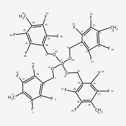 Cc1c(F)c(F)c(C[O][Zr]([O]Cc2c(F)c(F)c(C)c(F)c2F)([O]Cc2c(F)c(F)c(C)c(F)c2F)[O]Cc2c(F)c(F)c(C)c(F)c2F)c(F)c1F